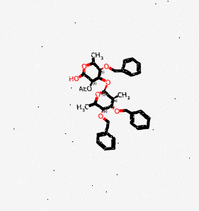 CC(=O)O[C@H]1C(O)OC(C)[C@H](OCc2ccccc2)C1O[C@@H]1OC(C)[C@@H](OCc2ccccc2)C(OCc2ccccc2)[C@@H]1C